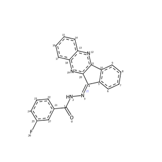 O=C(N/N=C1/c2ccccc2-c2nc3ccccc3nc21)c1cccc(F)c1